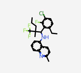 CCCC(C)(C(Nc1cccc2nc(C)ccc12)c1c(CC)ccc(Cl)c1F)C(F)(F)F